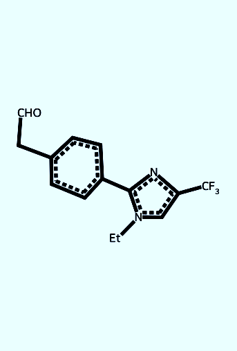 CCn1cc(C(F)(F)F)nc1-c1ccc(CC=O)cc1